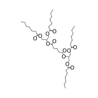 CCCCCCC(=O)OCC(COC(=O)CCCCCC)OC(=O)CCCC(=O)OC(COC(=O)CCCCCC)COC(=O)CCCCCC